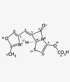 Cc1nc(/C=C2/C(=O)N3C(OC(=O)O)=CS[C@@H]23)co1